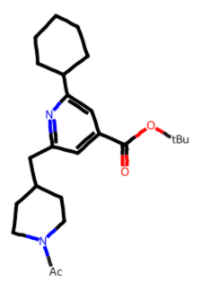 CC(=O)N1CCC(Cc2cc(C(=O)OC(C)(C)C)cc(C3CCCCC3)n2)CC1